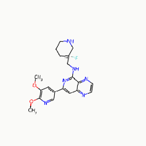 COc1cc(-c2cc3nccnc3c(NC[C@@]3(F)CCCNC3)n2)cnc1OC